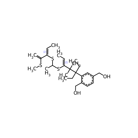 C=C(SC)/C(=C/C)SC(C)S/C(=C\C)C(C)(C)C(CC)(CC)c1cc(CO)ccc1CO